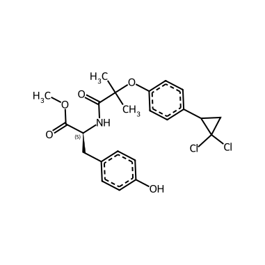 COC(=O)[C@H](Cc1ccc(O)cc1)NC(=O)C(C)(C)Oc1ccc(C2CC2(Cl)Cl)cc1